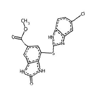 COC(=O)c1cc(Sc2nc3cc(Cl)ccc3[nH]2)c2[nH]c(=O)[nH]c2c1